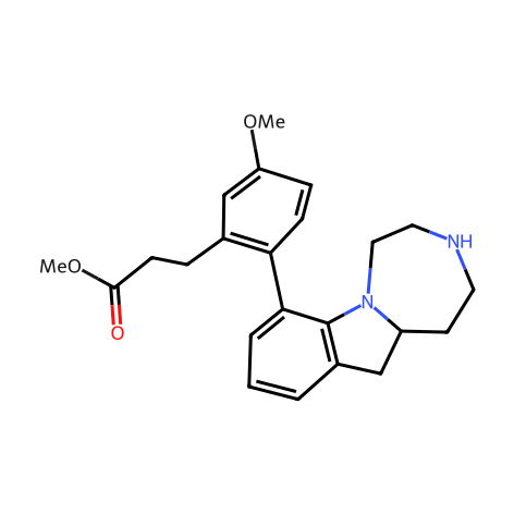 COC(=O)CCc1cc(OC)ccc1-c1cccc2c1N1CCNCCC1C2